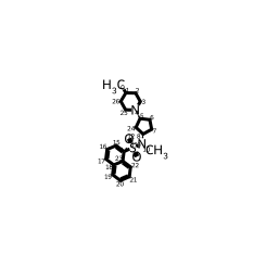 CC1CCN([C@@H]2CC[C@H](N(C)S(=O)(=O)c3cccc4ccccc34)C2)CC1